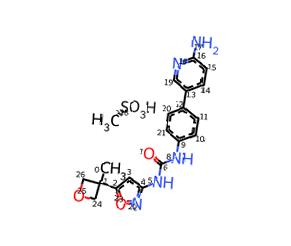 CC1(c2cc(NC(=O)Nc3ccc(-c4ccc(N)nc4)cc3)no2)COC1.CS(=O)(=O)O